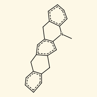 CN1c2ccccc2Cc2cc3c(cc21)Cc1ccccc1C3